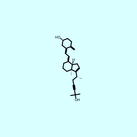 C=C1CC[C@H](O)C/C1=C/C=C1\CCC[C@]2(C)C([C@H](C)CC#CC(C)(C)O)=CC[C@@H]12